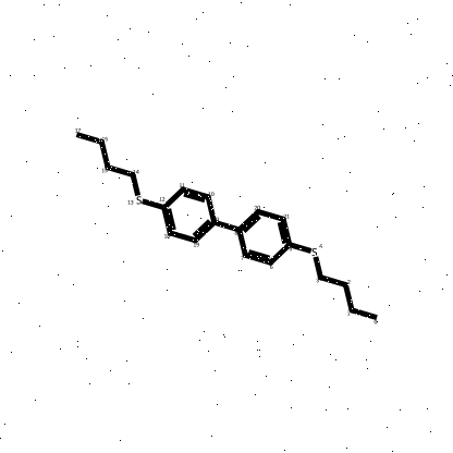 CCCCSc1ccc(-c2ccc(SCCCC)cc2)cc1